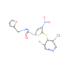 O=C(NCc1ccco1)c1cc([N+](=O)[O-])c(Sc2c(Cl)cncc2Cl)s1